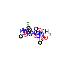 CC(=O)OC1CN(C(=O)C(NC(=O)C(C)NCC(=O)OCc2ccccc2)C2CCCCC2)C2CCN(C(=O)OCc3ccccc3)C12c1c[nH]c2cc(F)ccc12